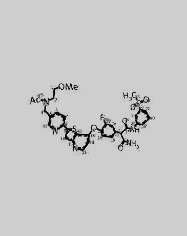 COCCN(Cc1ccc(-c2cc3nccc(Oc4ccc(C(C(N)=O)C(=O)Nc5cccc(S(C)(=O)=O)c5)cc4F)c3s2)nc1)C(C)=O